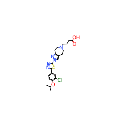 CC(C)Oc1ccc(-c2nnc(-n3cc4c(n3)CCN(CCCC(=O)O)CC4)s2)cc1Cl